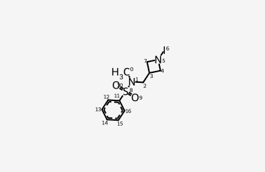 CN(CC1CN(I)C1)S(=O)(=O)c1ccccc1